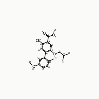 COC(=O)c1cc(OCC(C)C)c(-c2cc(OC)ccc2F)nc1Cl